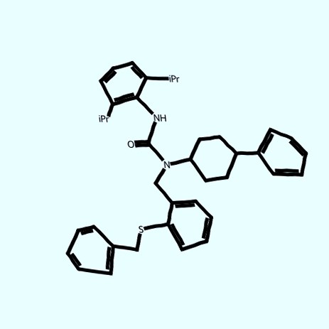 CC(C)c1cccc(C(C)C)c1NC(=O)N(Cc1ccccc1SCc1ccccc1)C1CCC(c2ccccc2)CC1